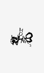 NC(=Nc1cccc2ccccc12)c1nonc1O